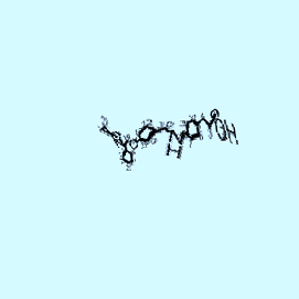 O=C(O)CCc1ccc(NCc2ccc(OC/C(=N\OC3CC3)c3ccccc3)cc2)cc1